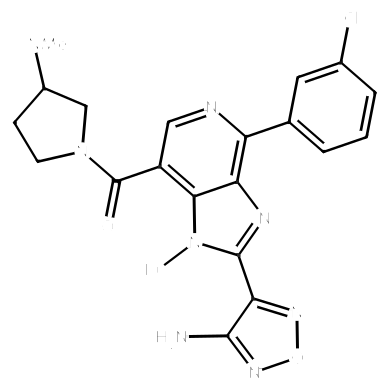 CCn1c(-c2nonc2N)nc2c(-c3cccc(Cl)c3)ncc(C(=O)N3CCC(NC)C3)c21